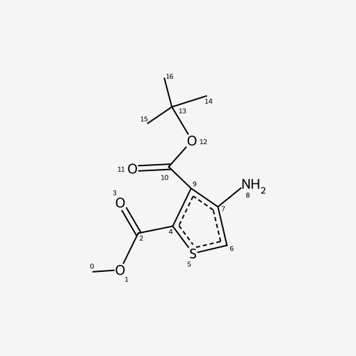 COC(=O)c1scc(N)c1C(=O)OC(C)(C)C